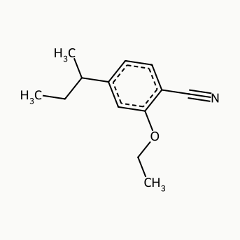 CCOc1cc(C(C)CC)ccc1C#N